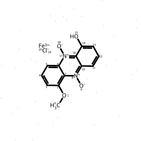 COc1cccc2c1[n+]([O-])c1cccc(O)c1[n+]2[O-].[Cl-].[Fe+3]